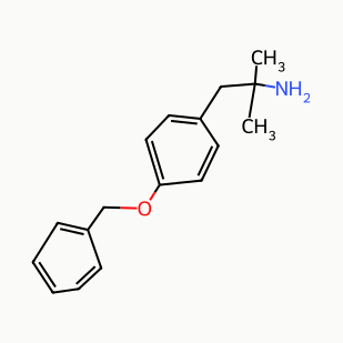 CC(C)(N)Cc1ccc(OCc2ccccc2)cc1